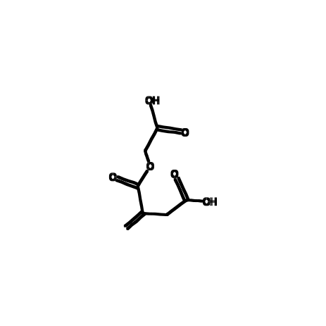 C=C(CC(=O)O)C(=O)OCC(=O)O